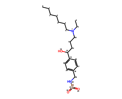 CCCCCCCN(CC)CCCC(O)c1ccc(CN[SH](=O)=O)cc1